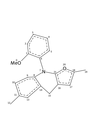 COc1ccccc1N1c2ccc(C)cc2Cc2cc(C)oc21